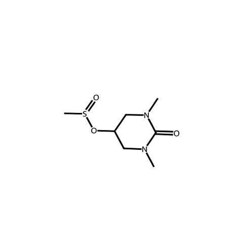 CN1CC(OS(C)=O)CN(C)C1=O